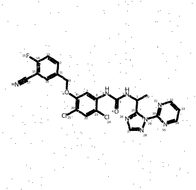 CC(NC(=O)Nc1cc(OCc2ccc(F)c(C#N)c2)c(Cl)cc1Cl)c1ncnn1-c1ncccn1